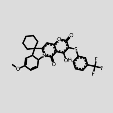 COC1=CC2C(C=C1)n1c(cc3oc(=O)c(Sc4cccc(C(F)(F)F)c4)c(O)c3c1=O)C21CCCCC1